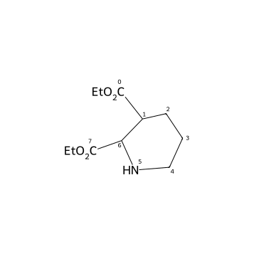 CCOC(=O)C1CCCNC1C(=O)OCC